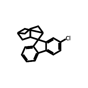 Clc1ccc2c(c1)C1(c3ccccc3-2)C2CC3CC(C2)C1C3